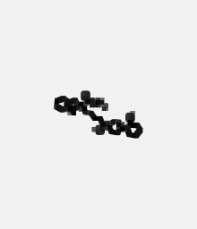 COc1ccccc1N1CCN(C(CCCCN(C(N)=O)c2cc3ccccn3n2)OC)CC1